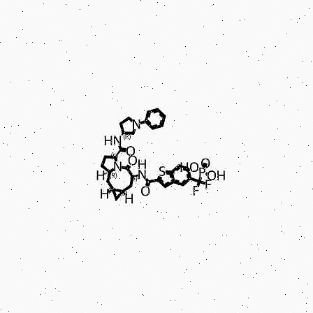 O=C(N[C@H]1C[C@@H]2C[C@@H]2C[C@H]2CC[C@@H](C(=O)N[C@@H]3CCN(c4ccccc4)C3)N2C1=O)c1cc2cc(C(F)(F)P(=O)(O)O)ccc2s1